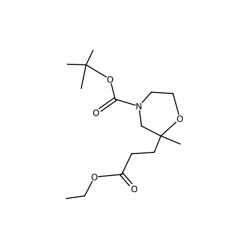 CCOC(=O)CCC1(C)CN(C(=O)OC(C)(C)C)CCO1